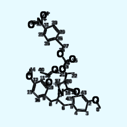 COc1ccc(CC(Cc2ccc(OC)cc2)N2C(=O)[C@H](C(C)OC(=O)OCc3ccc([N+](=O)[O-])cc3)[C@H]2OC(C)=O)cc1